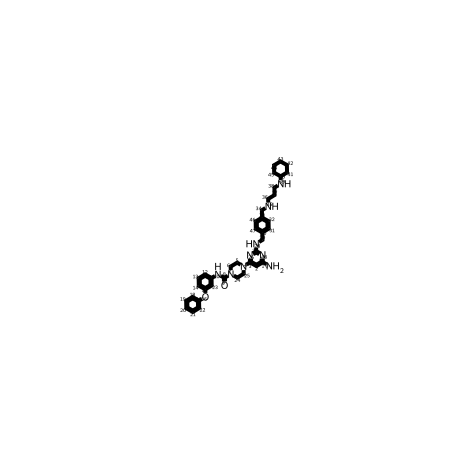 Nc1cc(N2CCN(C(=O)Nc3cccc(Oc4ccccc4)c3)CC2)nc(NCc2ccc(CNCCCNC3CCCCC3)cc2)n1